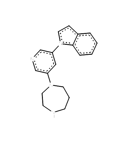 c1ccc2c(c1)ccn2-c1cncc(N2CCCNCC2)c1